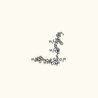 Cc1c(CN2CCN(C(=O)C(C)OC(=O)OCCSSCC(NC(=O)CCC(NC(=O)c3ccc(NCc4cnc5nc(N)[nH]c(=O)c5n4)cc3)C(=O)O)C(=O)O)CC2)sc2c(N3CCOCC3)nc(-c3cnc(N)nc3)nc12